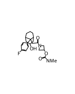 CNC(=O)OC1CN(C(=O)CC2(c3ccc(F)cc3)C3CCCC2CC(O)C3)C1